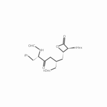 CCCCCCCCCCC[C@H](CC(=O)[C@H](CC(C)C)NC=O)C[C@@H]1OC(=O)[C@H]1CCCCCC